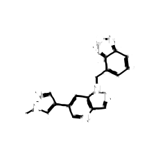 Cn1cc(-c2cnc3cnn(Cc4cccc5nonc45)c3c2)cn1